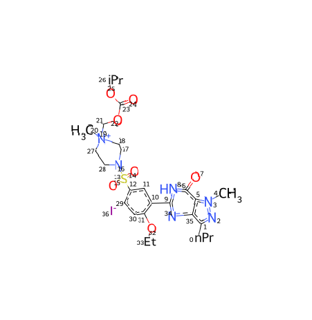 CCCc1nn(C)c2c(=O)[nH]c(-c3cc(S(=O)(=O)N4CC[N+](C)(COC(=O)OC(C)C)CC4)ccc3OCC)nc12.[I-]